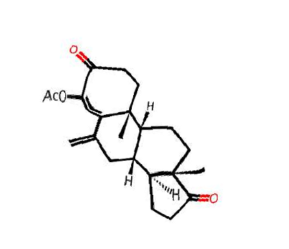 C=C1C[C@@H]2[C@@H](CC[C@]3(C)C(=O)CC[C@@H]23)[C@@]2(C)CCC(=O)C(OC(C)=O)=C12